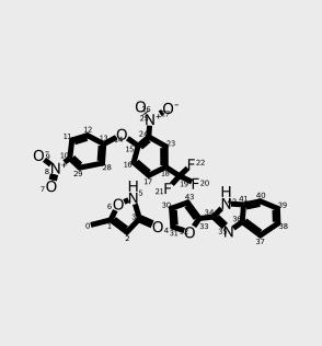 Cc1cc(=O)[nH]o1.O=[N+]([O-])c1ccc(Oc2ccc(C(F)(F)F)cc2[N+](=O)[O-])cc1.c1coc(-c2nc3ccccc3[nH]2)c1